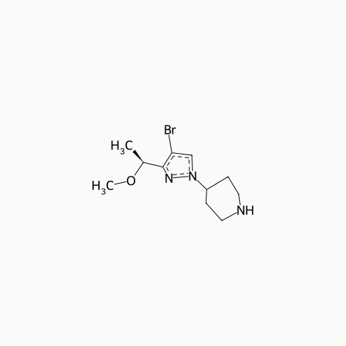 CO[C@@H](C)c1nn(C2CCNCC2)cc1Br